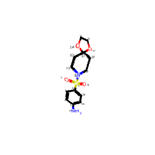 Nc1ccc(S(=O)(=O)N2CCC3(CC2)OCCO3)cc1